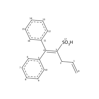 C=CCC(=C(c1ccccc1)c1ccccc1)S(=O)(=O)O